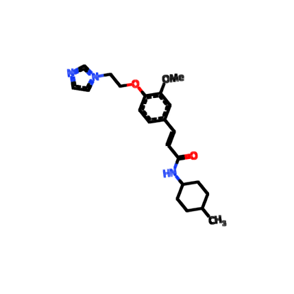 COc1cc(/C=C/C(=O)NC2CCC(C)CC2)ccc1OCCn1ccnc1